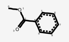 COC(=O)c1c[c][c]cc1